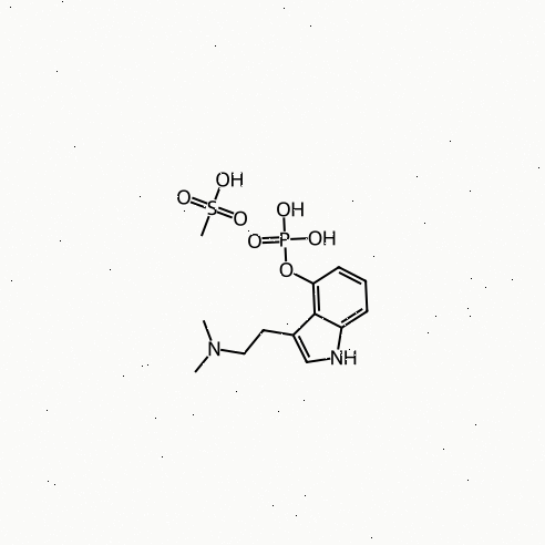 CN(C)CCc1c[nH]c2cccc(OP(=O)(O)O)c12.CS(=O)(=O)O